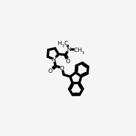 CN(C)C(=O)C1CCCN1C(=O)OCC1c2ccccc2-c2ccccc21